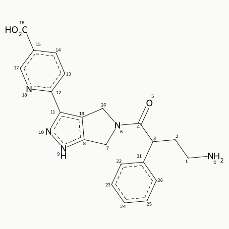 NCCC(C(=O)N1Cc2[nH]nc(-c3ccc(C(=O)O)cn3)c2C1)c1ccccc1